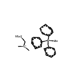 CCCC[B-](c1ccccc1)(c1ccccc1)c1ccccc1.CSC[S+](C)C